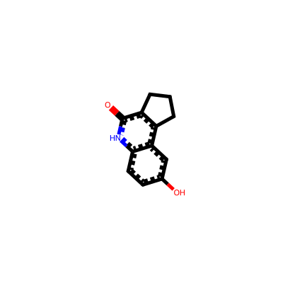 O=c1[nH]c2ccc(O)cc2c2c1CCC2